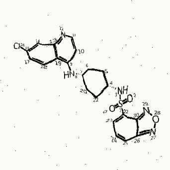 O=S(=O)(N[C@H]1CC[C@@H](Nc2ccnc3cc(Cl)ccc23)CC1)c1cccc2nonc12